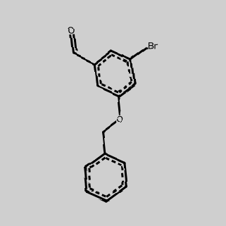 O=Cc1cc(Br)cc(OCc2ccccc2)c1